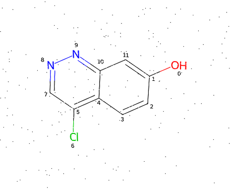 Oc1ccc2c(Cl)cnnc2c1